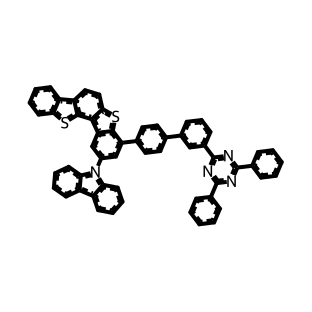 c1ccc(-c2nc(-c3ccccc3)nc(-c3cccc(-c4ccc(-c5cc(-n6c7ccccc7c7ccccc76)cc6c5sc5ccc7c8ccccc8sc7c56)cc4)c3)n2)cc1